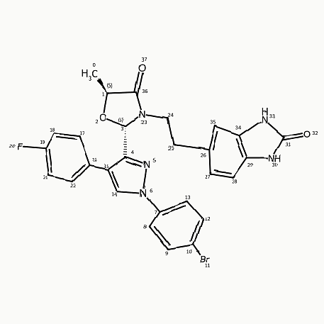 C[C@@H]1O[C@@H](c2nn(-c3ccc(Br)cc3)cc2-c2ccc(F)cc2)N(CCc2ccc3[nH]c(=O)[nH]c3c2)C1=O